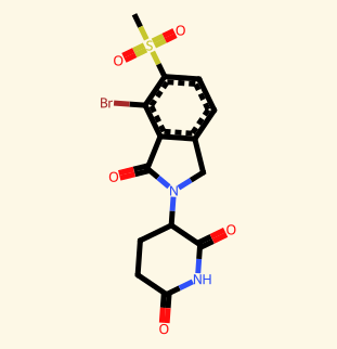 CS(=O)(=O)c1ccc2c(c1Br)C(=O)N(C1CCC(=O)NC1=O)C2